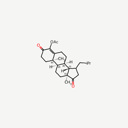 CC(=O)OC1=C2CC[C@@H]3[C@@H](CC[C@]4(C)C(=O)CC(CC(C)C)[C@@H]34)[C@@]2(C)CCC1=O